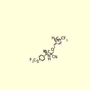 C=C(/C=C\C(C#N)=C/COC[C@](C)(C#N)NC(=O)c1ccc(SC(F)(F)F)cc1)C(F)(F)F